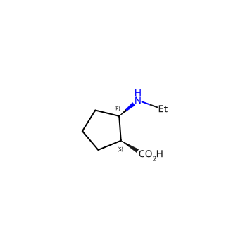 CCN[C@@H]1CCC[C@@H]1C(=O)O